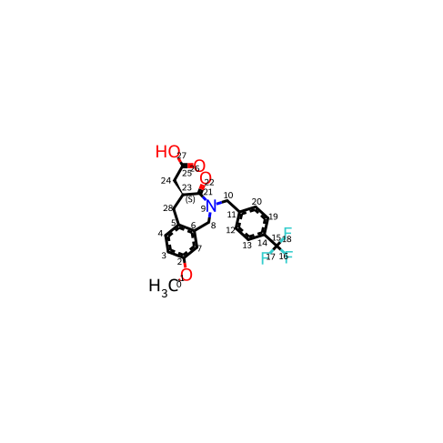 COc1ccc2c(c1)CN(Cc1ccc(C(F)(F)F)cc1)C(=O)[C@H](CC(=O)O)C2